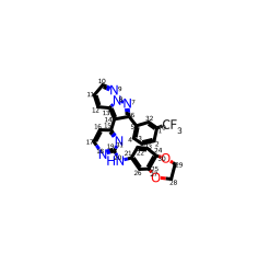 FC(F)(F)c1cccc(-c2nn3ncccc3c2-c2ccnc(Nc3ccc4c(c3)OCCO4)n2)c1